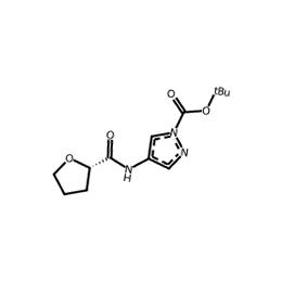 CC(C)(C)OC(=O)n1cc(NC(=O)[C@@H]2CCCO2)cn1